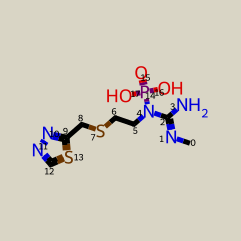 CN=C(N)N(CCSCc1nncs1)P(=O)(O)O